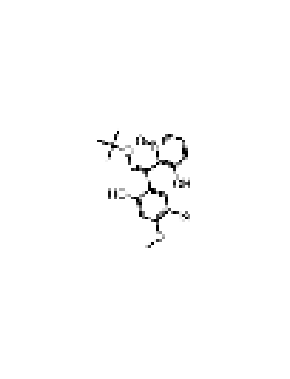 COc1cc(O)c(C(=NOC(C)(C)C)c2c(O)ccc[n+]2[O-])cc1Br